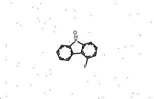 O=[PH]1c2ccccc2-c2c(F)cccc21